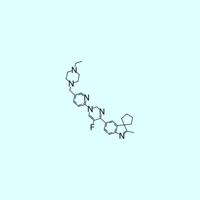 CCN1CCN(Cc2ccc(N3C=C(F)C(c4ccc5c(c4)C4(CCCC4)C(C)=N5)=NC3)nc2)CC1